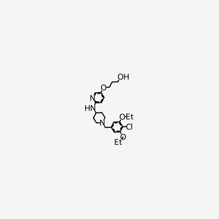 CCOc1cc(CN2CCC(Nc3ccc(OCCCO)cn3)CC2)cc(OCC)c1Cl